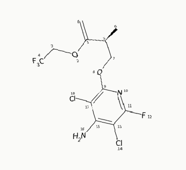 C=C(OCC(F)(F)F)[C@@H](C)COc1nc(F)c(Cl)c(N)c1Cl